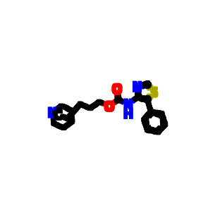 O=C(Nc1ncsc1-c1ccccc1)OCCCC1CN2CCC1CC2